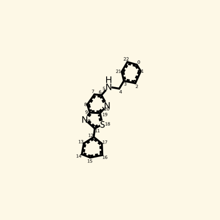 c1ccc(CNc2ccc3nc(-c4ccccc4)sc3n2)cc1